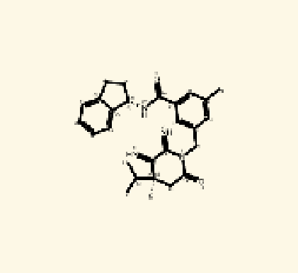 Cc1cc(CN2C(=N)C(=N)[C@](C)(C(C)C)CC2=O)cc(C(=O)N[C@H]2CCc3ccccc32)c1